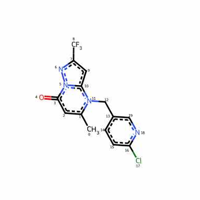 Cc1cc(=O)n2nc(C(F)(F)F)cc2n1Cc1ccc(Cl)nc1